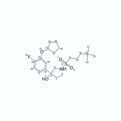 CCC(O)(CNS(=O)(=O)CCCC(C)(C)C)c1ccc(F)c(OC2CCCC2)c1